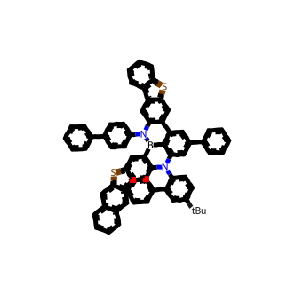 CC(C)(C)c1ccc(N2c3cc4c(cc3B3c5c(cc(-c6ccccc6)cc52)-c2cc5sc6ccccc6c5cc2N3c2ccc(-c3ccccc3)cc2)sc2cc3ccccc3cc24)c(-c2ccccc2)c1